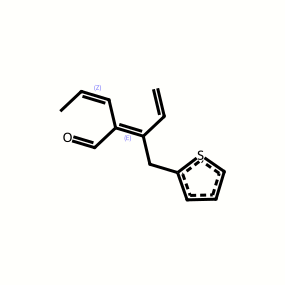 C=C/C(Cc1cccs1)=C(C=O)\C=C/C